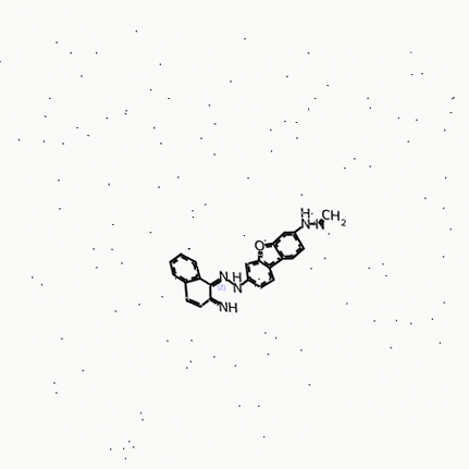 C=NNc1ccc2c(c1)oc1cc(N/N=C3\C(=N)C=Cc4ccccc43)ccc12